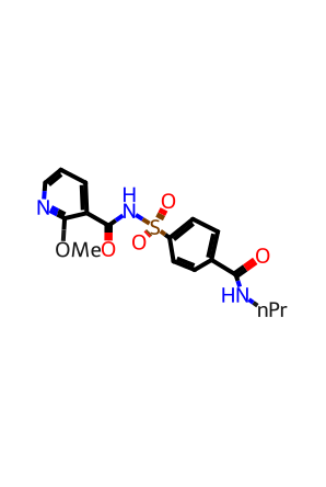 CCCNC(=O)c1ccc(S(=O)(=O)NC(=O)c2cccnc2OC)cc1